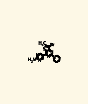 Cc1sc2c(-c3cnc(N)nc3)nc(N3CCCCC3)nc2c1Br